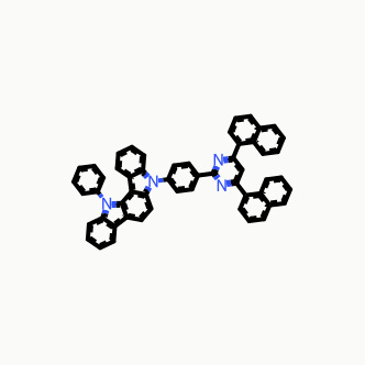 c1ccc(-n2c3ccccc3c3ccc4c(c5ccccc5n4-c4ccc(-c5nc(-c6cccc7ccccc67)cc(-c6cccc7ccccc67)n5)cc4)c32)cc1